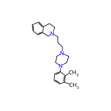 Cc1cccc(N2CCN(CCCN3CCc4ccccc4C3)CC2)c1C